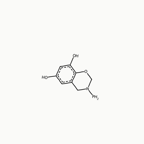 Oc1cc(O)c2c(c1)CN(P)CO2